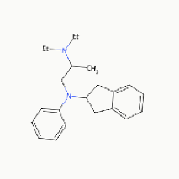 CCN(CC)C(C)CN(c1ccccc1)C1Cc2ccccc2C1